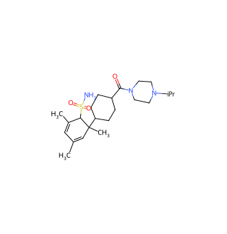 CC1=CC(C)(C2CCC(C(=O)N3CCN(C(C)C)CC3)CC2)C(S(N)(=O)=O)C(C)=C1